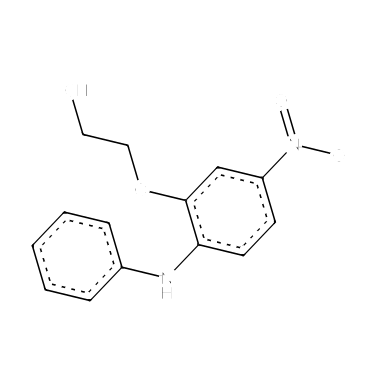 CCCOc1cc([N+](=O)[O-])ccc1Nc1ccccc1